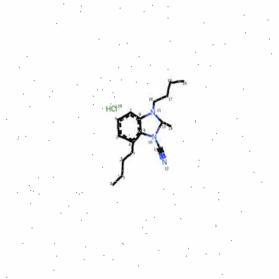 CCCCc1cccc2c1N(C#N)C(C)N2CCCC.Cl